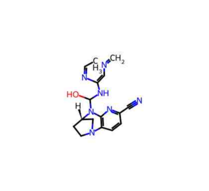 C=N/C=C(\N=C/C)NC(O)N1c2nc(C#N)ccc2N2CC[C@H]1C2